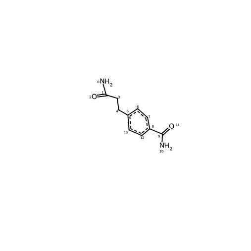 NC(=O)CCc1ccc(C(N)=O)cc1